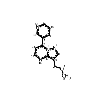 COCc1cnn2c(-c3cccnc3)ccnc12